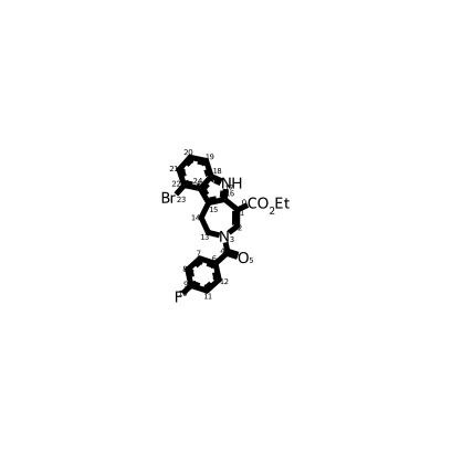 CCOC(=O)C1=CN(C(=O)c2ccc(F)cc2)CCc2c1[nH]c1cccc(Br)c21